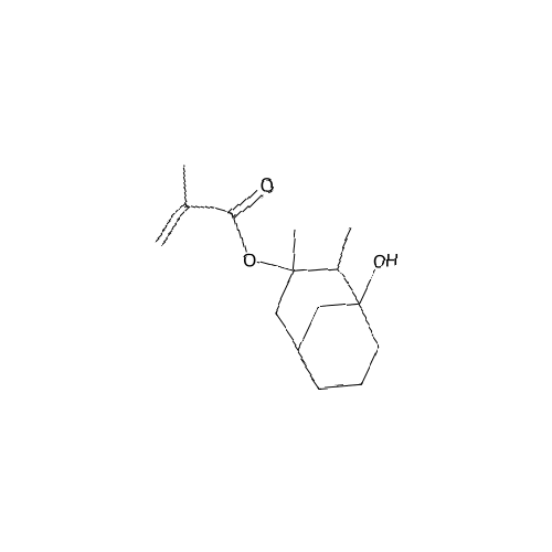 C=C(C)C(=O)OC1(C)CC2CCCC(O)(C2)C1C